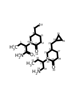 CCC(C(N)=O)N1CC(CI)CCC1=O.CCC(CN)N1CC(CC2CC2)CCC1=O